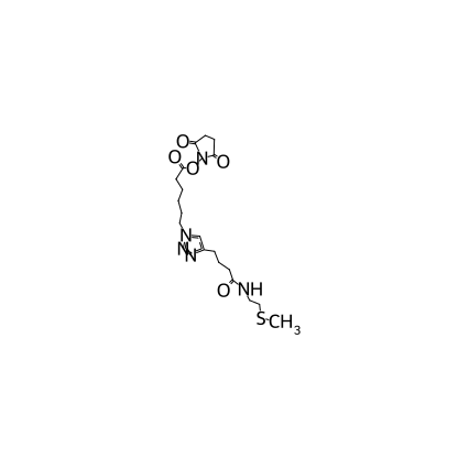 CSCCNC(=O)CCCc1cn(CCCCCC(=O)ON2C(=O)CCC2=O)nn1